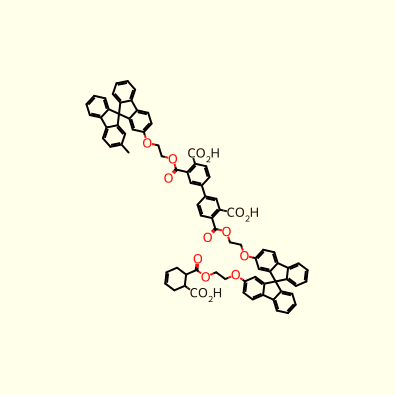 Cc1ccc2c(c1)C1(c3ccccc3-2)c2ccccc2-c2ccc(OCCOC(=O)c3cc(-c4ccc(C(=O)OCCOc5ccc6c(c5)C5(c7ccccc7-6)c6ccccc6-c6ccc(OCCOC(=O)C7CC=CCC7C(=O)O)cc65)c(C(=O)O)c4)ccc3C(=O)O)cc21